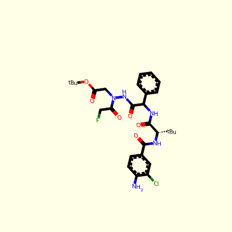 CC(C)(C)OC(=O)CN(NC(=O)C(NC(=O)[C@@H](NC(=O)c1ccc(N)c(Cl)c1)C(C)(C)C)c1ccccc1)C(=O)CF